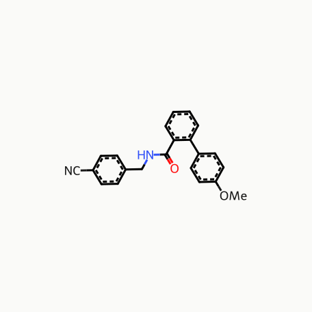 COc1ccc(-c2ccccc2C(=O)NCc2ccc(C#N)cc2)cc1